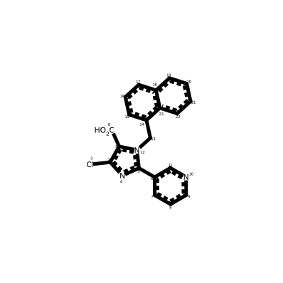 O=C(O)c1c(Cl)nc(-c2cccnc2)n1Cc1cccc2ccccc12